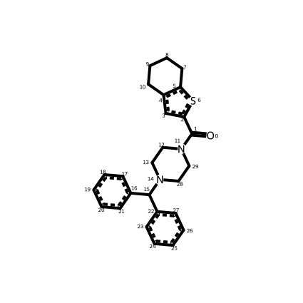 O=C(c1cc2c(s1)CCCC2)N1CCN(C(c2ccccc2)c2ccccc2)CC1